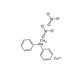 C.O=[N+]([O-])[O-].O=[N+]([O-])[O-].[Cu+2].c1ccc(Pc2ccccc2)cc1